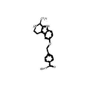 COC(=O)c1ccc(COc2ccc3[nH]c4c(c3c2)CCNC4C(=O)O)cc1